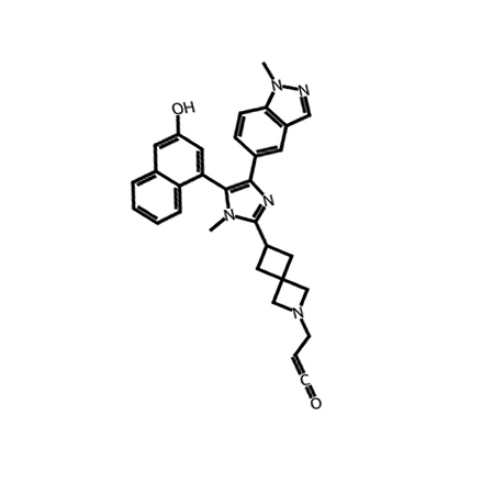 Cn1c(C2CC3(C2)CN(CC=C=O)C3)nc(-c2ccc3c(cnn3C)c2)c1-c1cc(O)cc2ccccc12